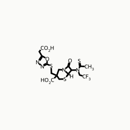 CC(=S)N(CC(F)(F)F)C1C(=O)N2CC(CSc3nnc(CC(=O)O)o3)(C(=O)O)CS[C@H]12